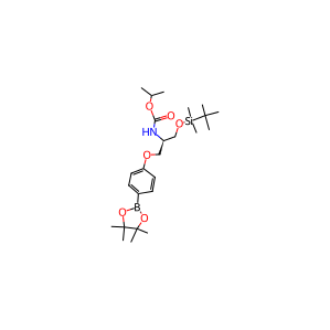 CC(C)OC(=O)N[C@H](COc1ccc(B2OC(C)(C)C(C)(C)O2)cc1)CO[Si](C)(C)C(C)(C)C